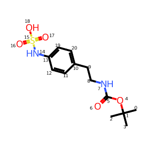 CC(C)(C)OC(=O)NCCc1ccc(NS(=O)(=O)O)cc1